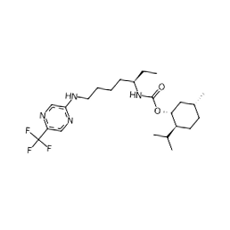 CC[C@H](CCCCNc1cnc(C(F)(F)F)cn1)NC(=O)O[C@@H]1C[C@H](C)CC[C@H]1C(C)C